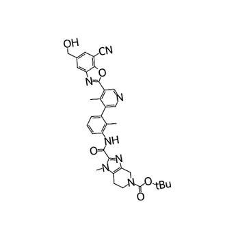 Cc1c(NC(=O)c2nc3c(n2C)CCN(C(=O)OC(C)(C)C)C3)cccc1-c1cncc(-c2nc3cc(CO)cc(C#N)c3o2)c1C